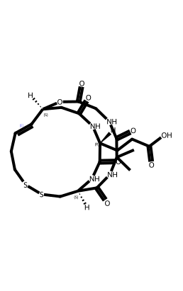 CC1(C)NC(=O)[C@H]2CSSCC/C=C/[C@H](CC(=O)N[C@H](CCC(=O)O)C(=O)N2)OC(=O)CNC1=O